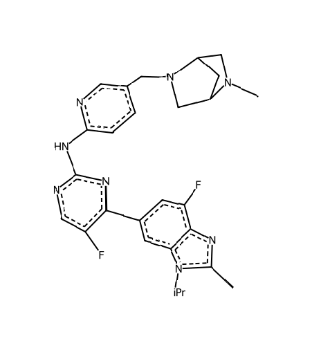 Cc1nc2c(F)cc(-c3nc(Nc4ccc(CN5CC6CC5CN6C)cn4)ncc3F)cc2n1C(C)C